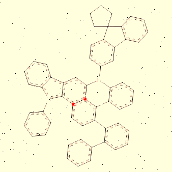 c1ccc(-c2ccccc2-c2ccccc2-c2ccccc2N(c2ccc3c(c2)-c2ccccc2C32CCCC2)c2ccc3c(c2)c2ccccc2n3-c2ccccc2)cc1